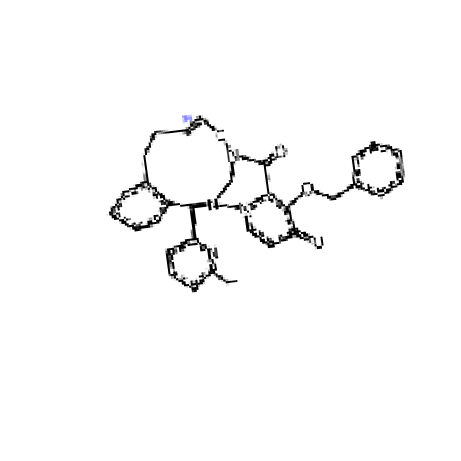 O=C1c2c(OCc3ccccc3)c(=O)ccn2N2CN1C/C=C/CCc1ccccc1C2c1cccc(F)n1